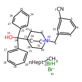 Br.CCCCCCCC.N#Cc1cccc(C[N+]23CCC(C(O)(c4ccccc4)c4ccccc4)(CC2)CC3)c1.[Br-]